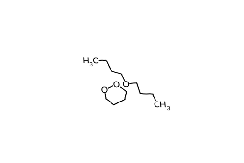 C1CCOOC1.CCCCOCCCC